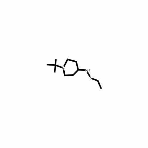 CCSNC1CCN(C(C)(C)C)CC1